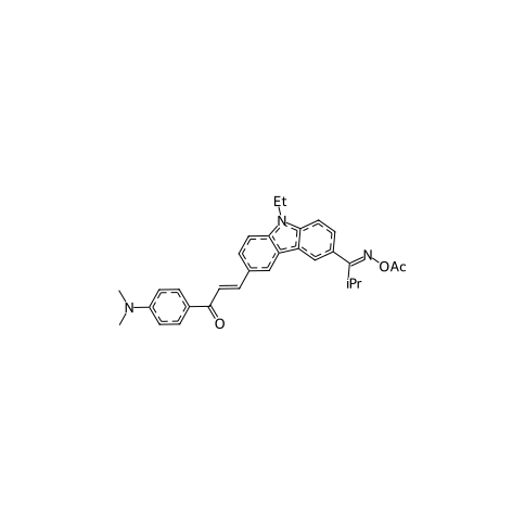 CCn1c2ccc(C=CC(=O)c3ccc(N(C)C)cc3)cc2c2cc(C(=NOC(C)=O)C(C)C)ccc21